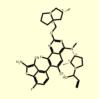 C=CC(O)N1CC[C@@H](N(C)c2nc(OC[C@@]34CCCN3C[C@H](F)C4)nc3c(F)c(-c4ccc(F)c5sc(N)c(C#N)c45)c(C(F)(F)F)cc23)[C@H]1C